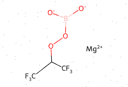 [Mg+2].[O-]B([O-])OOC(C(F)(F)F)C(F)(F)F